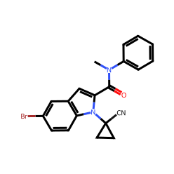 CN(C(=O)c1cc2cc(Br)ccc2n1C1(C#N)CC1)c1ccccc1